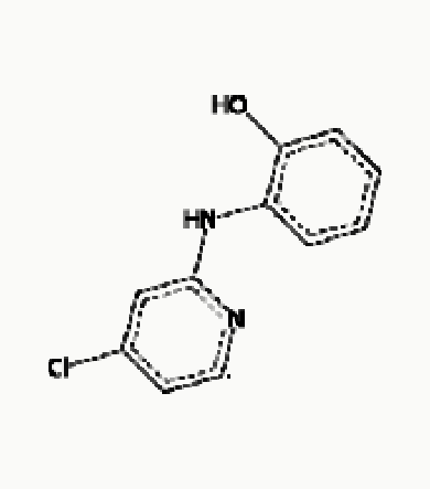 Oc1ccccc1Nc1cc(Cl)c[c]n1